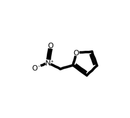 O=[N+]([O-])Cc1ccco1